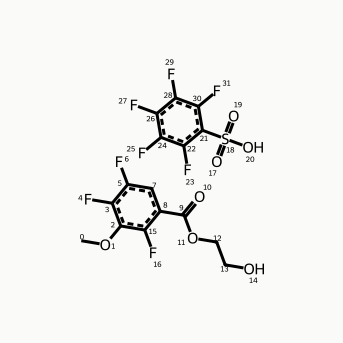 COc1c(F)c(F)cc(C(=O)OCCO)c1F.O=S(=O)(O)c1c(F)c(F)c(F)c(F)c1F